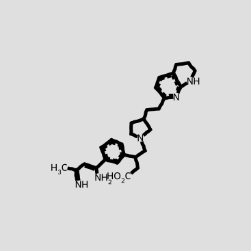 CC(=N)/C=C(\N)c1cccc(C(CC(=O)O)CN2CCC(CCc3ccc4c(n3)NCCC4)C2)c1